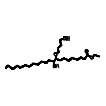 CCCCCCCCCCCCC(O)C(CCCCCCCC(=O)OCC)OCCCCO